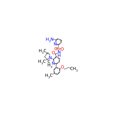 CCCOc1ccc(C)cc1-c1ccc(C(=O)NS(=O)(=O)c2cccc(N)n2)c(N2C[C@@H](C)CC2(C)C)n1